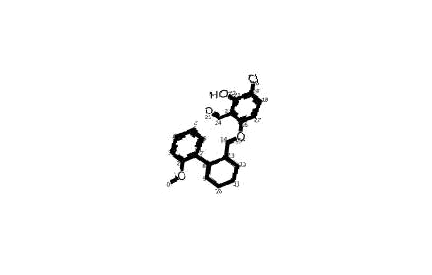 COc1ccccc1C1CCCCC1COc1ccc(Cl)c(O)c1C=O